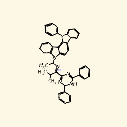 CC(C)/C(=N\C(C)n1c2c(c3c1ccc1c4ccccc4n(-c4ccccc4)c13)C=CCC2)C1=NC(c2ccccc2)NC(c2ccccc2)=N1